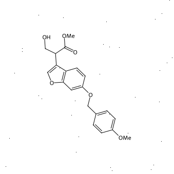 COC(=O)C(CO)c1coc2cc(OCc3ccc(OC)cc3)ccc12